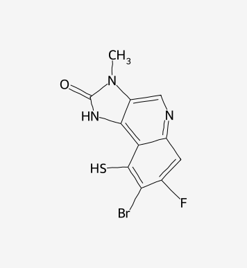 Cn1c(=O)[nH]c2c3c(S)c(Br)c(F)cc3ncc21